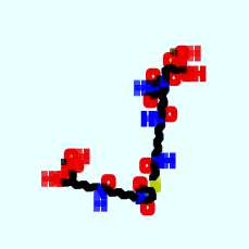 CP(=O)(O)OCC(CO)CCCCNC(=O)CCCCCN1C(=O)CC(SCCC(=O)NCCCCCCNC(=O)/C=C/c2cn([C@H]3CC(OP(C)(=O)O)[C@@H](CO)O3)c(=O)[nH]c2=O)C1=O